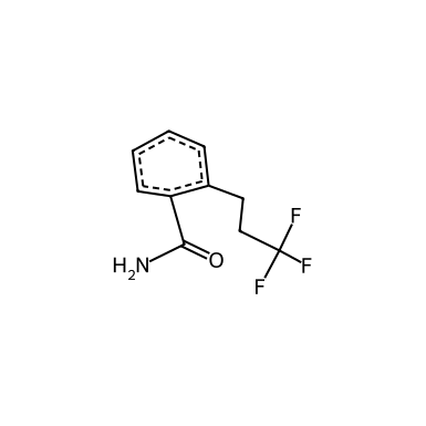 NC(=O)c1ccccc1CCC(F)(F)F